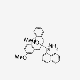 COc1cccc(CC(O)(Cc2ccccc2OC)[C@H](N)c2cccc3ccccc23)c1